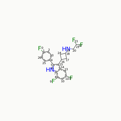 Fc1ccc(-c2[nH]c3c(F)cc(F)cc3c2C2CC(NCC(F)F)C2)cc1